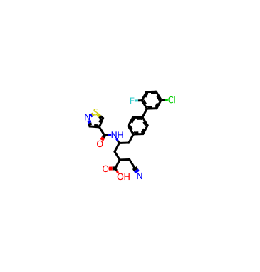 N#CCC(CC(Cc1ccc(-c2cc(Cl)ccc2F)cc1)NC(=O)c1cnsc1)C(=O)O